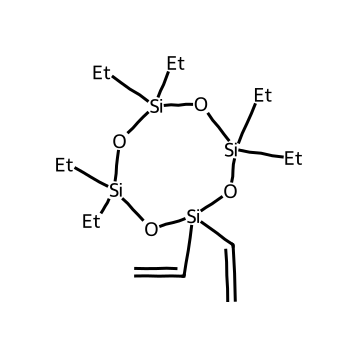 C=C[Si]1(C=C)O[Si](CC)(CC)O[Si](CC)(CC)O[Si](CC)(CC)O1